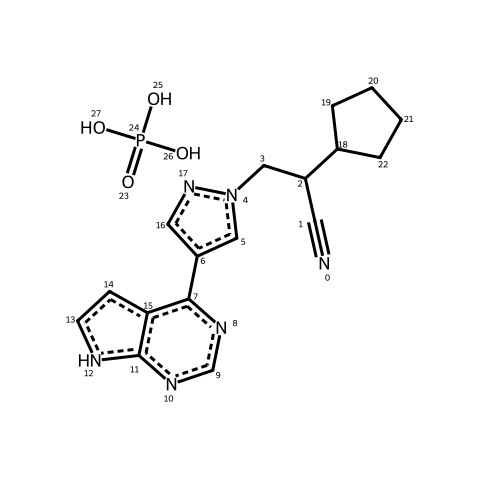 N#CC(Cn1cc(-c2ncnc3[nH]ccc23)cn1)C1CCCC1.O=P(O)(O)O